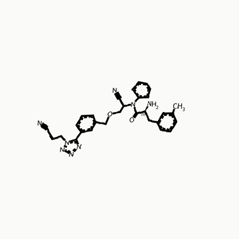 Cc1cccc(C[C@H](N)C(=O)N(c2ccccc2)C(C#N)COCc2cccc(-c3nnnn3CCC#N)c2)c1